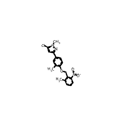 Cc1cc(-c2cc(Cl)n(C)n2)ccc1OCc1c(C)cccc1[N+](=O)[O-]